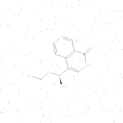 CC(C)CN[C@H](C)c1c[nH]c(=O)c2cnccc12